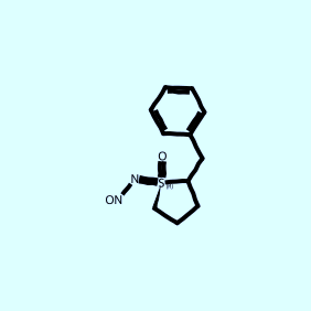 O=NN=[S@@]1(=O)CCCC1Cc1ccccc1